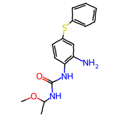 COC(C)NC(=O)Nc1ccc(Sc2ccccc2)cc1N